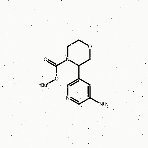 CC(C)(C)OC(=O)N1CCOCC1c1cncc(N)c1